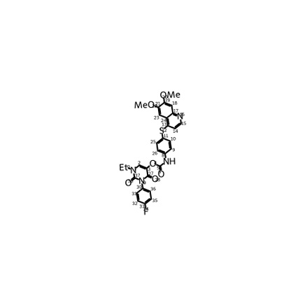 CCn1cc(OC(=O)Nc2ccc(Sc3ccnc4cc(OC)c(OC)cc34)cc2)c(=O)n(-c2ccc(F)cc2)c1=O